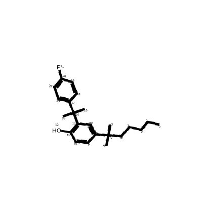 CCCCCC(C)(C)c1ccc(O)c(C(C)(C)c2ccc(F)cc2)c1